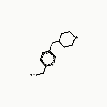 COCc1ccc(OC2CCNCC2)cn1